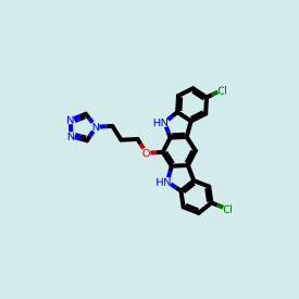 Clc1ccc2[nH]c3c(OCCCn4cnnc4)c4[nH]c5ccc(Cl)cc5c4cc3c2c1